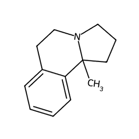 CC12CCCN1CCc1ccccc12